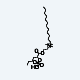 CCCCCCCCCCCC[N+](C)(C)CCOC(=O)C(CCCC)OS(=O)(=O)O